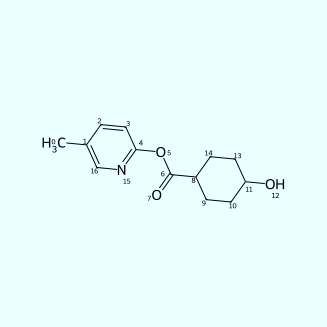 Cc1ccc(OC(=O)C2CCC(O)CC2)nc1